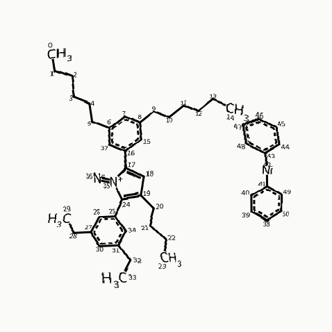 CCCCCCc1cc(CCCCCC)cc(C2=CC(CCCC)=C(c3cc(CC)cc(CC)c3)[N+]2=[N-])c1.c1cc[c]([Ni][c]2ccccc2)cc1